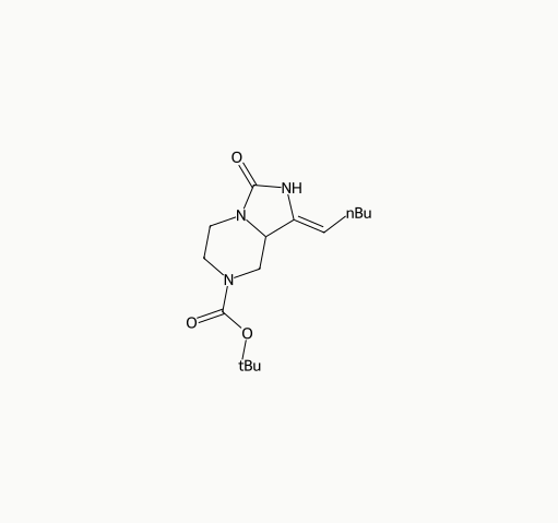 CCCCC=C1NC(=O)N2CCN(C(=O)OC(C)(C)C)CC12